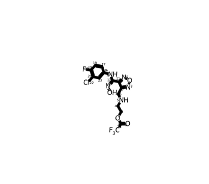 O=C(OCCNCc1nonc1C(=NO)Nc1ccc(F)c(Cl)c1)C(F)(F)F